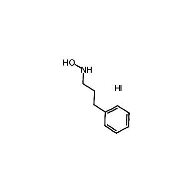 I.ONCCCc1ccccc1